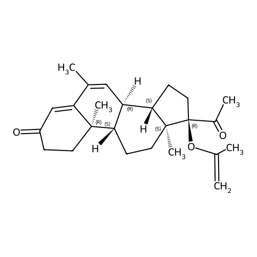 C=C(C)O[C@]1(C(C)=O)CC[C@H]2[C@@H]3C=C(C)C4=CC(=O)CC[C@]4(C)[C@H]3CC[C@@]21C